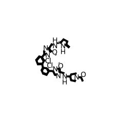 C=C1CC[C@H](CNCc2ncc(-c3cccc(-c4cccc(-c5cnc(CNC6CCN(C(C)=O)CC6)c(OC)n5)c4Cl)c3Cl)nc2OC)N1